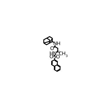 C[C@@H](CC(=O)NC1C2CC3CC(C2)CC1C3)NS(=O)(=O)c1ccc2ccccc2c1